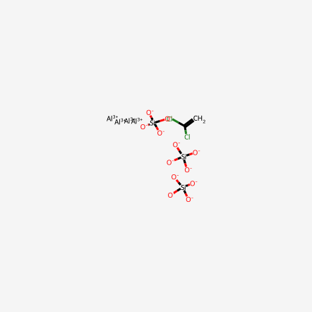 C=C(Cl)Cl.[Al+3].[Al+3].[Al+3].[Al+3].[O-][Si]([O-])([O-])[O-].[O-][Si]([O-])([O-])[O-].[O-][Si]([O-])([O-])[O-]